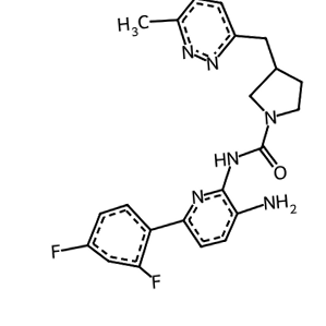 Cc1ccc(CC2CCN(C(=O)Nc3nc(-c4ccc(F)cc4F)ccc3N)C2)nn1